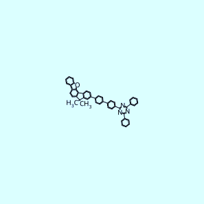 CC1(C)c2cc(-c3ccc(-c4ccc(-c5nc(-c6ccccc6)nc(-c6ccccc6)n5)cc4)cc3)ccc2-c2c1ccc1c2oc2ccccc21